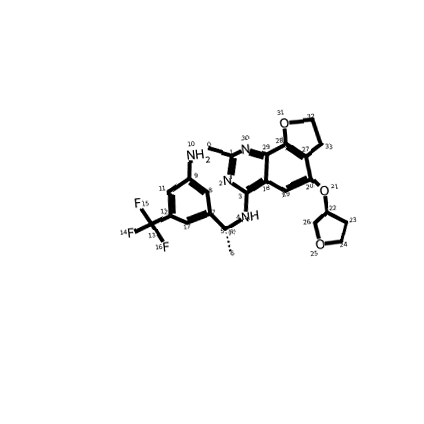 Cc1nc(N[C@H](C)c2cc(N)cc(C(F)(F)F)c2)c2cc(OC3CCOC3)c3c(c2n1)OCC3